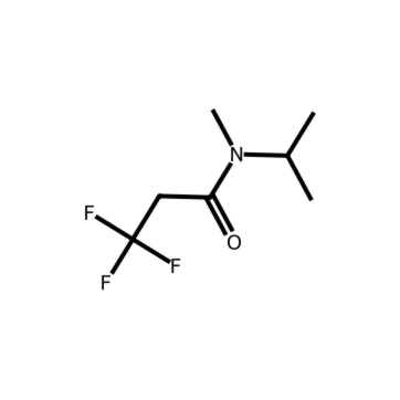 CC(C)N(C)C(=O)CC(F)(F)F